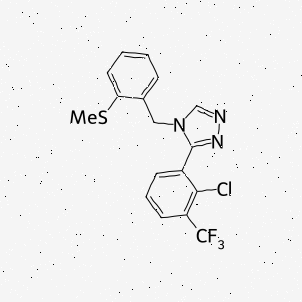 CSc1ccccc1Cn1cnnc1-c1cccc(C(F)(F)F)c1Cl